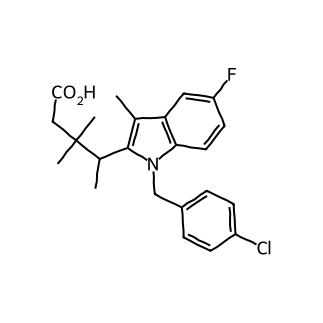 Cc1c(C(C)C(C)(C)CC(=O)O)n(Cc2ccc(Cl)cc2)c2ccc(F)cc12